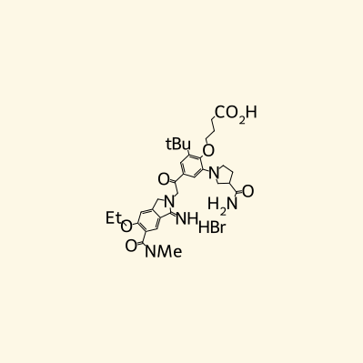 Br.CCOc1cc2c(cc1C(=O)NC)C(=N)N(CC(=O)c1cc(N3CCC(C(N)=O)C3)c(OCCCC(=O)O)c(C(C)(C)C)c1)C2